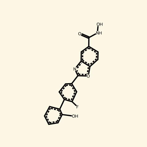 O=C(NO)c1ccc2oc(-c3ccc(-c4ccccc4O)c(F)c3)nc2c1